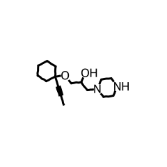 CC#CC1(OCC(O)CN2CCNCC2)CCCCC1